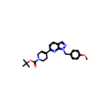 COc1ccc(Cn2ncc3ccc(C4=CCN(C(=O)OC(C)(C)C)CC4)nc32)cc1